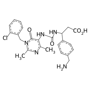 Cc1nc(C)n(Cc2ccccc2Cl)c(=O)c1NC(=O)NC(CC(=O)O)c1ccc(CN)cc1